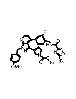 COc1ccc(Cn2nc(C3=CCN(C(=O)OC(C)(C)C)C3)c3c(-c4ccc(CNC(=O)c5noc(C(C)(C)C)n5)c(F)c4)ccnc32)cc1